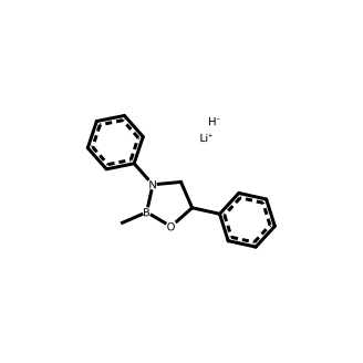 CB1OC(c2ccccc2)CN1c1ccccc1.[H-].[Li+]